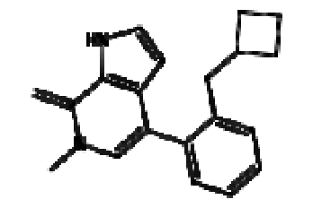 C=C1c2[nH]ccc2C(c2ccccc2CC2CCC2)=CN1C